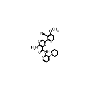 COc1ccnc(-c2cnc(N)c(C(=O)Nc3ncccc3N3CCCCC3)n2)c1C#N